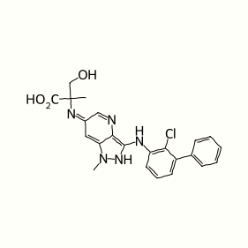 Cn1[nH]c(Nc2cccc(-c3ccccc3)c2Cl)c2ncc(=NC(C)(CO)C(=O)O)cc1-2